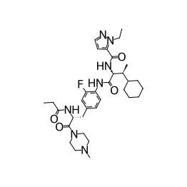 CCC(=O)N[C@H](Cc1ccc(NC(=O)[C@@H](NC(=O)c2ccnn2CC)[C@@H](C)C2CCCCC2)c(F)c1)C(=O)N1CCN(C)CC1